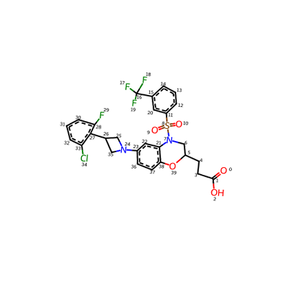 O=C(O)CCC1CN(S(=O)(=O)c2cccc(C(F)(F)F)c2)c2cc(N3CC(c4c(F)cccc4Cl)C3)ccc2O1